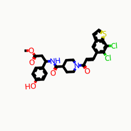 COC(=O)CC(NC(=O)C1CCN(C(=O)C=Cc2cc3ccsc3c(Cl)c2Cl)CC1)c1ccc(O)cc1